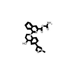 Cn1cc(-c2ccc3c(c2)C(O)CCN3c2nc(C(=O)OC(N)=O)cc3ccccc23)cn1